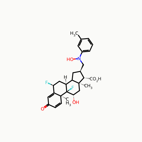 Cc1cccc(N(O)C[C@@H]2CC3[C@@H]4C[C@H](F)C5=CC(=O)C=C[C@]5(C)[C@@]4(F)[C@@H](O)C[C@]3(C)[C@H]2C(=O)O)c1